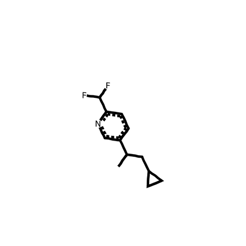 C[C](CC1CC1)c1ccc(C(F)F)nc1